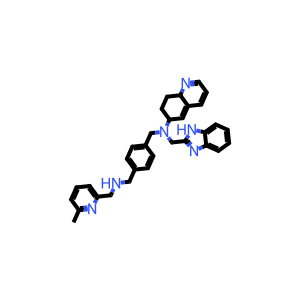 Cc1cccc(CNCc2ccc(CN(Cc3nc4ccccc4[nH]3)C3C=C4C=CC=NC4CC3)cc2)n1